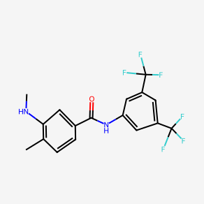 CNc1cc(C(=O)Nc2cc(C(F)(F)F)cc(C(F)(F)F)c2)ccc1C